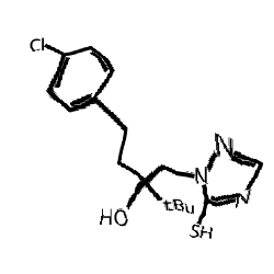 CC(C)(C)C(O)(CCc1ccc(Cl)cc1)Cn1ncnc1S